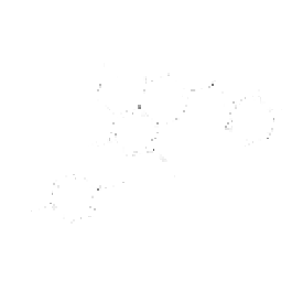 CCn1c2c(c(=O)n(Cc3ccc(C)cc3)c1=O)CN(Cc1ccccc1)CC2